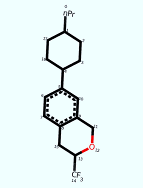 CCCC1CCC(c2ccc3c(c2)COC(C(F)(F)F)C3)CC1